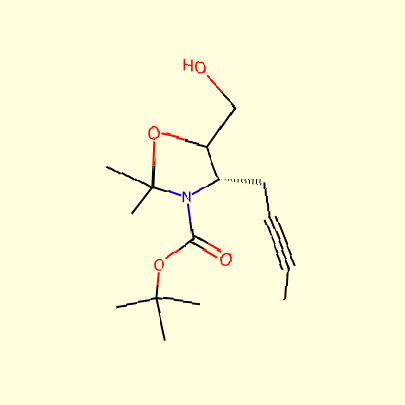 CC#CC[C@H]1C(CO)OC(C)(C)N1C(=O)OC(C)(C)C